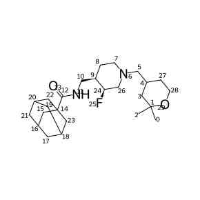 CC1(C)CC(CN2CC[C@H](CNC(=O)C34CC5CC(CC(C5)C3)C4)[C@H](F)C2)CCO1